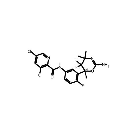 CC1(C)N=C(N)O[C@](C)(c2cc(NC(=O)c3ncc(Cl)cc3Cl)ccc2F)C1(F)F